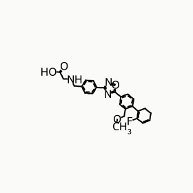 COCc1cc(-c2nc(-c3ccc(CNCC(=O)O)cc3)no2)ccc1C1=C(F)C=CCC1